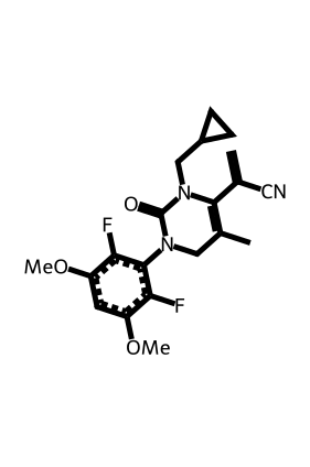 C=C(C#N)C1=C(C)CN(c2c(F)c(OC)cc(OC)c2F)C(=O)N1CC1CC1